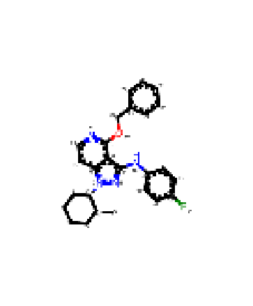 C[C@H]1CCCC[C@@H]1n1nc(Nc2ccc(F)cc2)c2c(OCc3ccccc3)nccc21